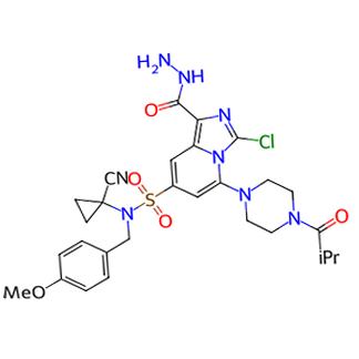 COc1ccc(CN(C2(C#N)CC2)S(=O)(=O)c2cc(N3CCN(C(=O)C(C)C)CC3)n3c(Cl)nc(C(=O)NN)c3c2)cc1